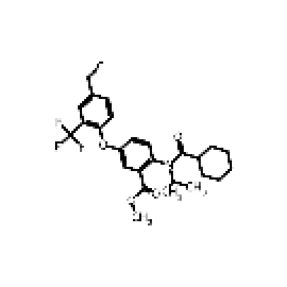 COC(=O)c1cc(Oc2ccc(CCl)cc2C(F)(F)F)ccc1N(C(=O)C1CCCCC1)C(C)C